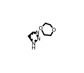 C1COCCO1.c1c[nH]nn1